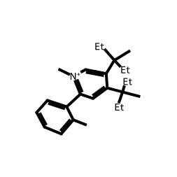 CCC(C)(CC)c1cc(-c2ccccc2C)[n+](C)cc1C(C)(CC)CC